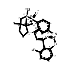 C=C(/C=C(\N=N/C)c1c(F)cccc1F)[C@@H]1CCC(C)(CN(CC)S(=O)(=O)c2ccc(C#N)cc2)C1(C)C